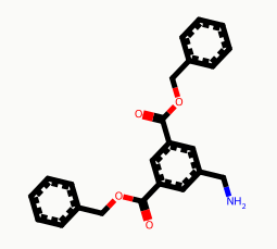 NCc1cc(C(=O)OCc2ccccc2)cc(C(=O)OCc2ccccc2)c1